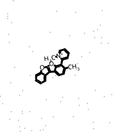 Cc1ccc2c(oc3oc4ccccc4c32)c1-c1cccc[n+]1C